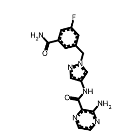 NC(=O)c1cc(F)cc(Cn2cc(NC(=O)c3nccnc3N)cn2)c1